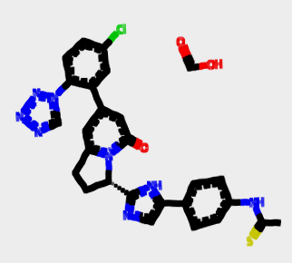 CC(=S)Nc1ccc(-c2cnc([C@@H]3CCc4cc(-c5cc(Cl)ccc5-n5cnnn5)cc(=O)n43)[nH]2)cc1.O=CO